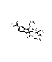 CCOC(=O)C(COC(C)(C)C)(Cc1ccc(C(=O)OC)cc1)C(=O)OCC